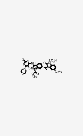 COc1ccc2c(c1)[C@]1(C[C@H]1c1ccc3c(Nc4nc(Cl)nc(N5CCOCC5)c4OC)nn(C(=O)OC(C)(C)C)c3c1)C(=O)N2C(=O)O